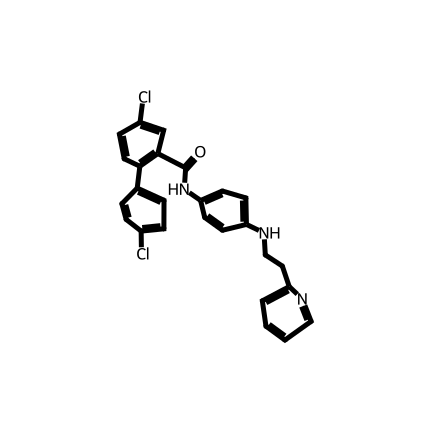 O=C(Nc1ccc(NCCc2ccccn2)cc1)c1cc(Cl)ccc1-c1ccc(Cl)cc1